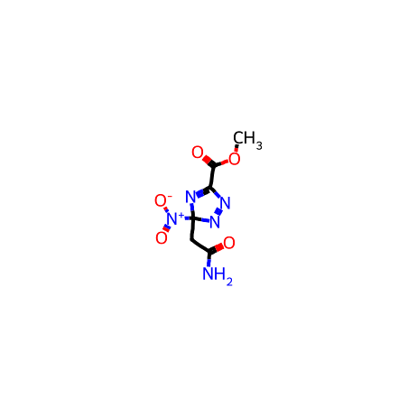 COC(=O)C1=NC(CC(N)=O)([N+](=O)[O-])N=N1